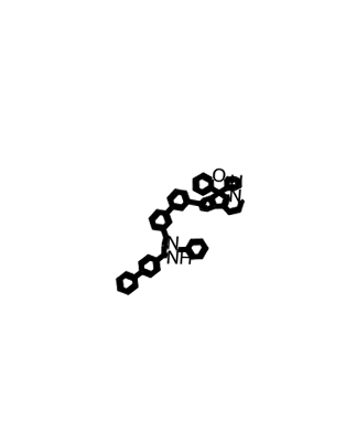 C1=CC2=C(NC1)C1(c3ccccc3Oc3ccccc31)c1cc(-c3cccc(-c4cccc(C5C6C(c7ccc(-c8ccccc8)cc7)NC(c7ccccc7)N56)c4)c3)ccc12